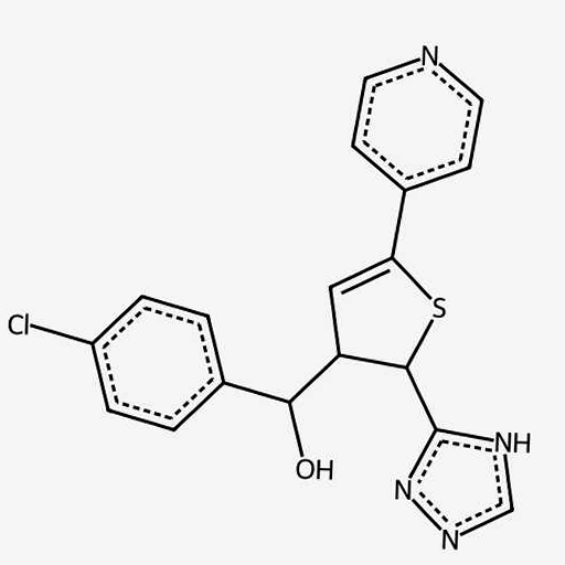 OC(c1ccc(Cl)cc1)C1C=C(c2ccncc2)SC1c1nnc[nH]1